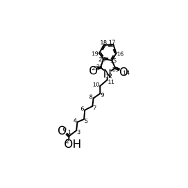 O=C(O)CCCCCCCCCN1C(=O)c2ccccc2C1=O